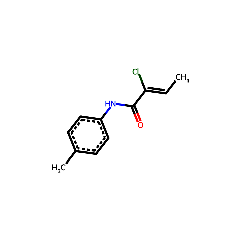 CC=C(Cl)C(=O)Nc1ccc(C)cc1